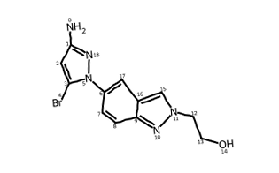 Nc1cc(Br)n(-c2ccc3nn(CCO)cc3c2)n1